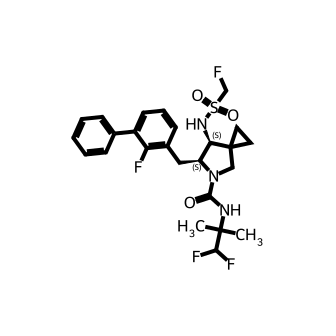 CC(C)(NC(=O)N1CC2(CC2)[C@H](NS(=O)(=O)CF)[C@@H]1Cc1cccc(-c2ccccc2)c1F)C(F)F